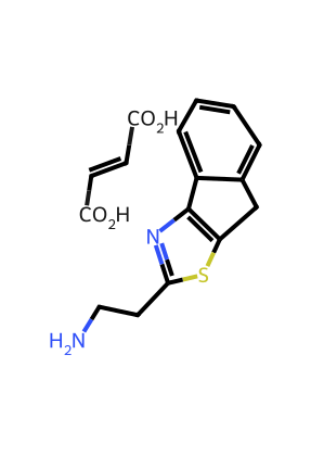 NCCc1nc2c(s1)Cc1ccccc1-2.O=C(O)C=CC(=O)O